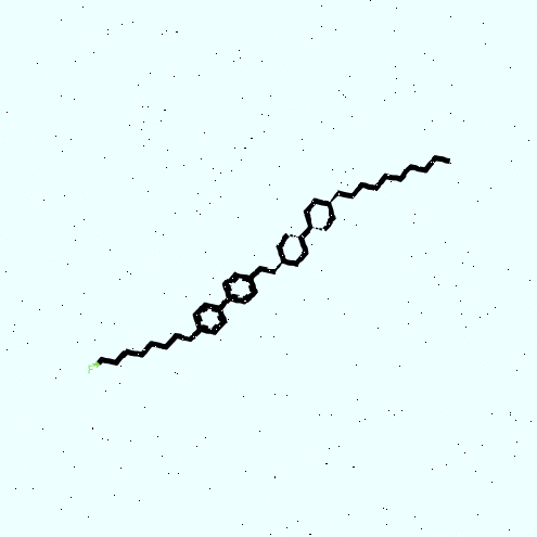 CCCCCCCCCC[C@H]1CC[C@H]([C@H]2CC[C@H](CCc3ccc(-c4ccc(CCCCCCCCF)cc4)cc3)CC2)CC1